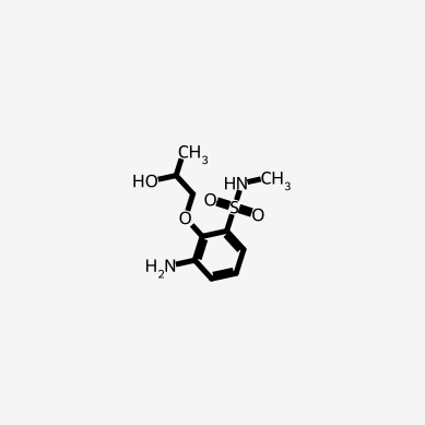 CNS(=O)(=O)c1cccc(N)c1OCC(C)O